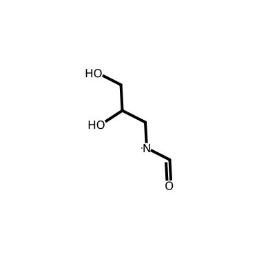 O=C[N]CC(O)CO